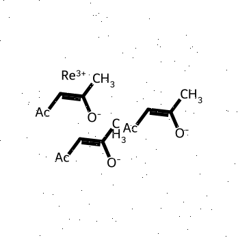 CC(=O)/C=C(/C)[O-].CC(=O)/C=C(/C)[O-].CC(=O)/C=C(/C)[O-].[Re+3]